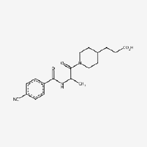 CC(NC(=O)c1ccc(C#N)cc1)C(=O)N1CCC(CCC(=O)O)CC1